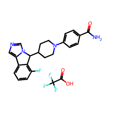 NC(=O)c1ccc(N2CCC(C3c4c(F)cccc4-c4cncn43)CC2)cc1.O=C(O)C(F)(F)F